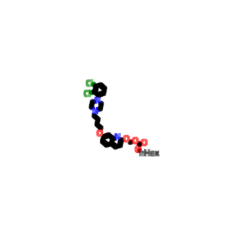 CCCCCCOC(=O)OCOc1ccc2ccc(OCCCCN3CCN(c4cccc(Cl)c4Cl)CC3)cc2n1